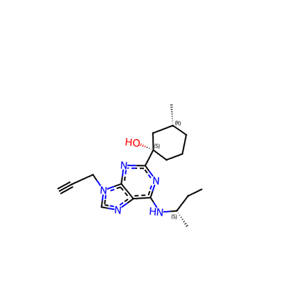 C#CCn1cnc2c(N[C@@H](C)CC)nc([C@]3(O)CCC[C@@H](C)C3)nc21